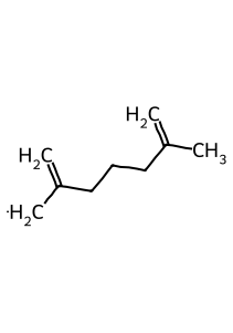 [CH2]C(=C)CCCC(=C)C